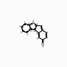 O=C1C=CC2=Cc3sc4ccccc4c3C2=C1